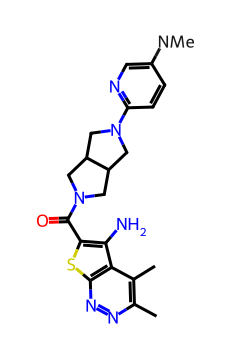 CNc1ccc(N2CC3CN(C(=O)c4sc5nnc(C)c(C)c5c4N)CC3C2)nc1